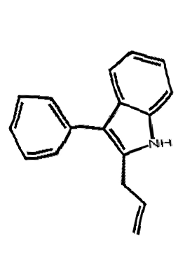 C=CCc1[nH]c2ccccc2c1-c1ccccc1